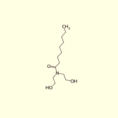 CCCCCCCCC(=O)N(CCO)CCO